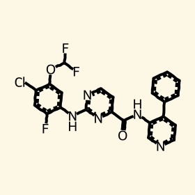 O=C(Nc1cnccc1-c1ccccc1)c1ccnc(Nc2cc(OC(F)F)c(Cl)cc2F)n1